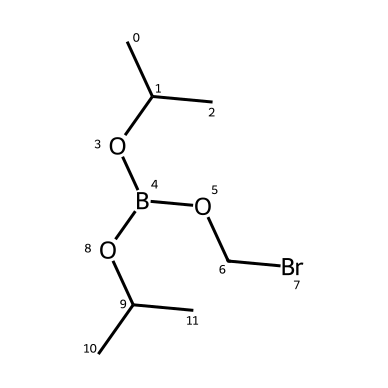 CC(C)OB(OCBr)OC(C)C